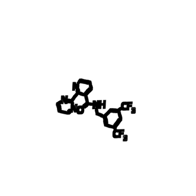 O=C(NCc1cc(C(F)(F)F)cc(C(F)(F)F)c1)c1cccnc1-c1ncccn1